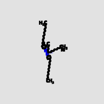 CCCCCC/C=C/C(=N\c1ccc(CCCCCCCCCCCCC)cc1)C(/CCCC)=N/c1ccc(CCCCCCCCCCCCC)cc1.[Ni]